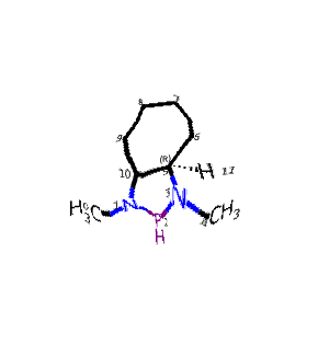 CN1PN(C)[C@@H]2CCCCC21